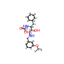 CC(C)Oc1cccc(CNC[C@@H](O)[C@H](Cc2ccccc2)NC(=O)O)c1